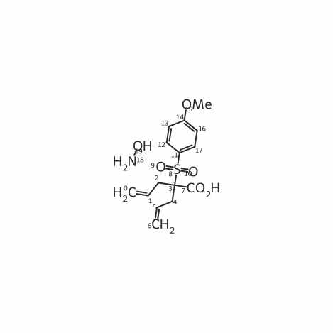 C=CCC(CC=C)(C(=O)O)S(=O)(=O)c1ccc(OC)cc1.NO